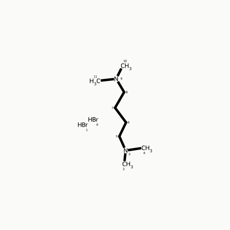 Br.Br.CN(C)CCCCN(C)C